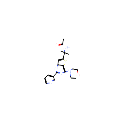 CC(=O)NC(C)(C)c1cc2nc(-c3cccnc3)nc(N3CCOCC3)c2s1